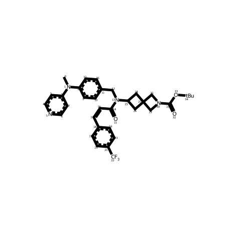 CN(c1ccncc1)c1ccc(CN(C(=O)C=Cc2ccc(C(F)(F)F)cc2)C2CC3(C2)CN(C(=O)OC(C)(C)C)C3)cc1